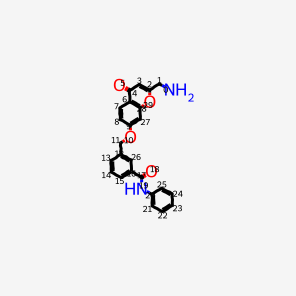 NCc1cc(=O)c2ccc(OCc3cccc(C(=O)Nc4ccccc4)c3)cc2o1